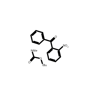 CNC(=O)OC(C)(C)C.O=C(c1ccccc1)c1ccccc1[N+](=O)[O-]